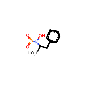 O=C(O)C(Cc1ccccc1)N(O)P(=O)=O